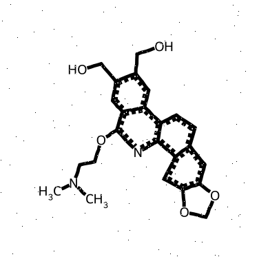 CN(C)CCOc1nc2c3cc4c(cc3ccc2c2cc(CO)c(CO)cc12)OCO4